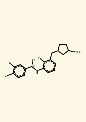 CC[C@@H](Nc1cccc(CN2CCC(C(=O)O)C2)c1F)c1ccc(Cl)c(C)c1